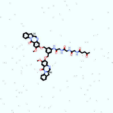 COc1cc2c(cc1OCc1cc(COc3cc4c(cc3OC)C(=O)N3c5ccccc5C[C@H]3C=N4)cc(NC(=O)CNC(=O)CNC(=O)CNC(=O)CCC(C)=O)c1)N=C[C@@H]1Cc3ccccc3N1C2=O